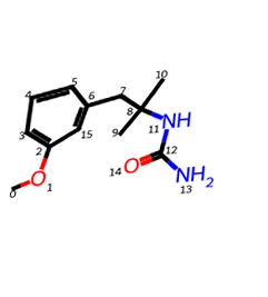 COc1cccc(CC(C)(C)NC(N)=O)c1